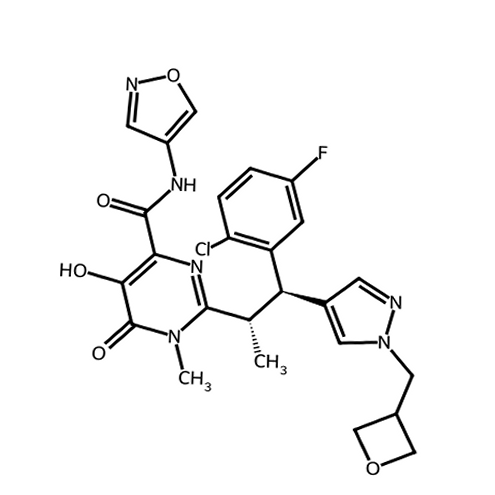 C[C@H](c1nc(C(=O)Nc2cnoc2)c(O)c(=O)n1C)[C@H](c1cnn(CC2COC2)c1)c1cc(F)ccc1Cl